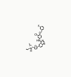 C=CCN[C@H](CSC)c1ccc(-c2ccc3ncnc(Nc4ccc(OCc5cccc(F)c5)c(Cl)c4)c3c2)o1